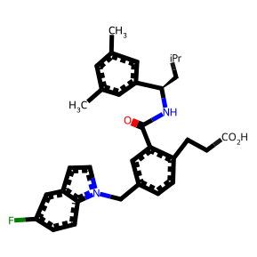 Cc1cc(C)cc([C@@H](CC(C)C)NC(=O)c2cc(Cn3ccc4cc(F)ccc43)ccc2CCC(=O)O)c1